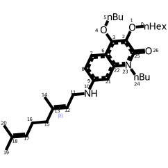 CCCCCCOc1c(OCCCC)c2ccc(NC/C=C(\C)CCC=C(C)C)cc2n(CCCC)c1=O